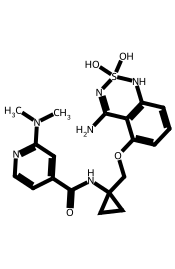 CN(C)c1cc(C(=O)NC2(COc3cccc4c3C(N)=NS(O)(O)N4)CC2)ccn1